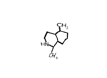 CC1CCCC2C(C)NCCC12